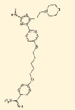 CNc1nc(-c2ccc(OCCCCCOc3ccc(C(=N)N)cc3)cc2)c(CCN2CCOCC2)s1